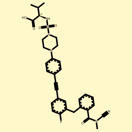 CC(C)[C@@H](NS(=O)(=O)N1CCN(c2ccc(C#Cc3ccc(F)c(Cc4ccccc4C(=O)N(C)C#N)c3)cc2)CC1)C(=O)O